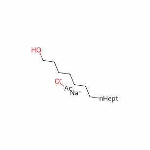 CC(=O)[O-].CCCCCCCCCCCCCCO.[Na+]